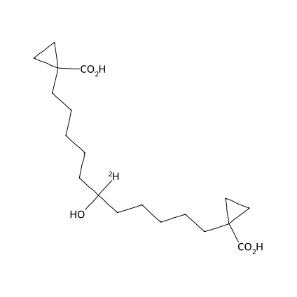 [2H]C(O)(CCCCCC1(C(=O)O)CC1)CCCCCC1(C(=O)O)CC1